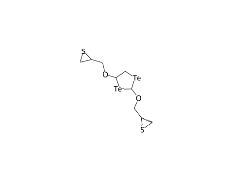 C(OC1C[Te]C(OCC2CS2)[Te]1)C1CS1